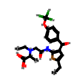 CCc1cc(C(=O)c2ccc(OC(F)(F)F)cc2)c(NC(=O)CN(CC)C(C)C(=O)O)s1